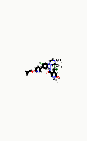 C[C@@H]1CN(c2cc(F)c(-c3ccc(OCC4CC4)nc3)cc2NC(=O)c2cn(C)c(=O)cc2C(F)(F)F)CCN1C